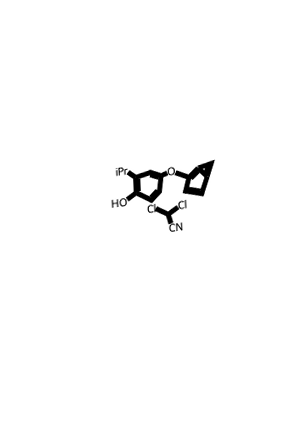 CC(C)c1cc(Oc2ccc3cc2-3)ccc1O.N#CC(Cl)Cl